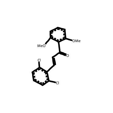 COc1cccc(OC)c1C(=O)C=Cc1c(Cl)cccc1Cl